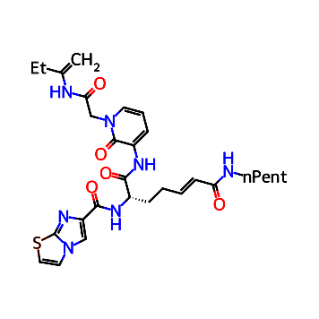 C=C(CC)NC(=O)Cn1cccc(NC(=O)[C@H](CC/C=C/C(=O)NCCCCC)NC(=O)c2cn3ccsc3n2)c1=O